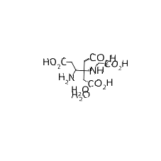 NC(CC(=O)O)C(CC(=O)O)(CC(=O)O)NCC(=O)O.O.O